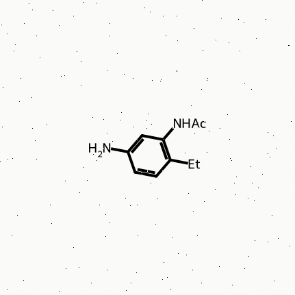 CCc1ccc(N)cc1NC(C)=O